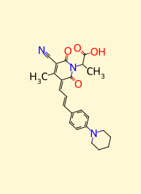 CC1=C(C#N)C(=O)N(C(C)C(=O)O)C(=O)/C1=C\C=C\c1ccc(N2CCCCC2)cc1